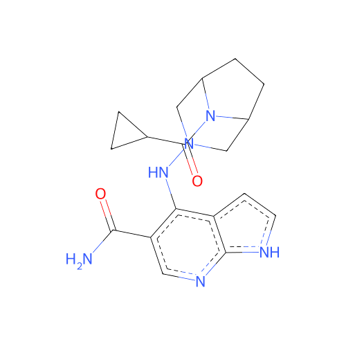 NC(=O)c1cnc2[nH]ccc2c1NN1CC2CCC(C1)N2C(=O)C1CC1